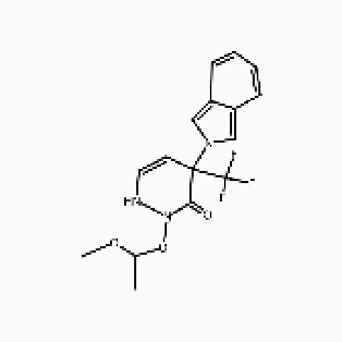 COC(C)ON1NC=CC(n2cc3ccccc3c2)(C(F)(F)F)C1=O